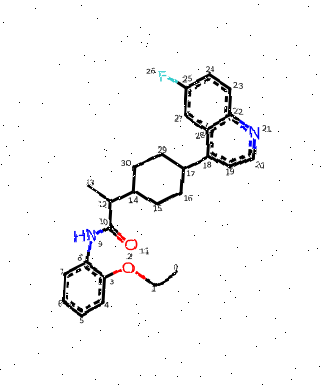 CCOc1ccccc1NC(=O)C(C)C1CCC(c2ccnc3ccc(F)cc23)CC1